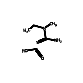 CCN(C)C(N)=S.O=CO